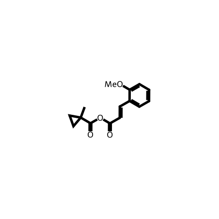 COc1ccccc1/C=C/C(=O)OC(=O)C1(C)CC1